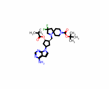 CC(C)C(=O)O[C@H]1CC(n2ccc3c(N)ncnc32)C[C@@H]1CN1CC(F)(F)CC12CCN(C(=O)OC(C)(C)C)CC2